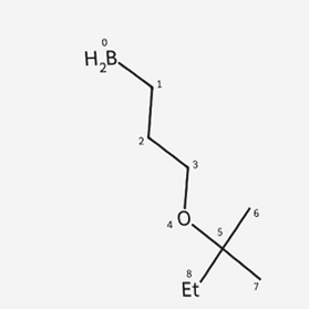 BCCCOC(C)(C)CC